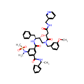 COc1cccc(CN(C[C@@H](O)[C@H](Cc2ccccc2)NC(=O)c2cc(C(=O)N[C@H](C)c3ccccc3)cc(N(C)S(C)(=O)=O)c2)C(=O)CCC(=O)NCc2cccnc2)c1